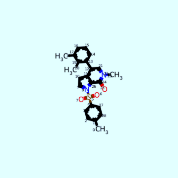 Cc1ccc(S(=O)(=O)n2ccc3c(-c4cccc(C)c4C)cn(C)c(=O)c32)cc1